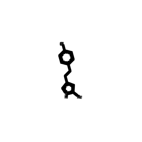 CC(=O)c1cc(CCc2ccc(Cl)cc2)c[nH]1